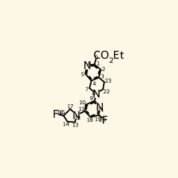 CCOC(=O)c1cc2c(cn1)CN(c1cc(N3CCC(F)C3)cc(F)n1)CC2